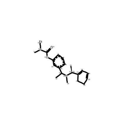 CCN(C)C(=O)Oc1cccc(C(C)N(C)[C@@H](C)C2=CC=CCC2)c1